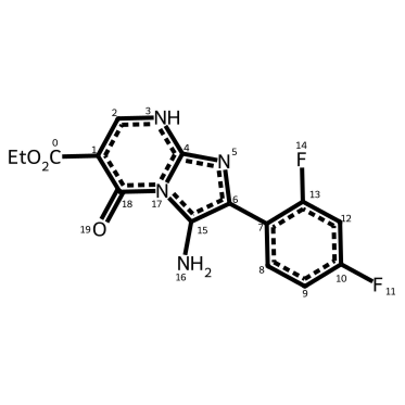 CCOC(=O)c1c[nH]c2nc(-c3ccc(F)cc3F)c(N)n2c1=O